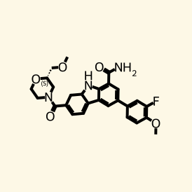 COC[C@@H]1CN(C(=O)C2=CC=C3c4cc(-c5ccc(OC)c(F)c5)cc(C(N)=O)c4NC3C2)CCO1